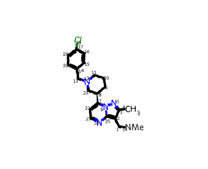 CNCc1c(C)nn2c([C@@H]3CCCN(Cc4ccc(Cl)cc4)C3)ccnc12